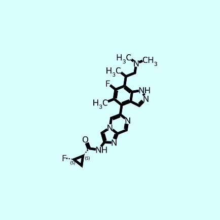 Cc1c(F)c(C(C)CN(C)C)c2[nH]ncc2c1-c1cn2cc(NC(=O)[C@@H]3C[C@@H]3F)nc2cn1